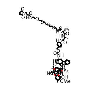 COc1c(C)cc2c(c1O)[C@@H]1[C@@H]3[C@@H]4SC[C@]5(N[C@H](CNC(=O)OCc6ccc(NC(=O)[C@H](C)NC(=O)[C@@H](NC(=O)CCOCCOCCOCCOCCNC(=O)CCN7C(=O)C=CC7=O)C(C)C)cc6)Cc6c5[nH]c5ccccc65)C(=O)OCC(c5c6c(c(C)c(OC(C)=O)c54)OCO6)N3C(C#N)(C2)CN1C